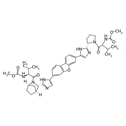 COC(=O)NC(C(=O)N1CCC[C@H]1c1ncc(-c2ccc3c(c2)oc2cc(-c4cnc([C@@H]5[C@H]6CC[C@H](C6)N5C(=O)[C@@H](NC(=O)OC)C(C)C)[nH]4)ccc23)[nH]1)C(C)C